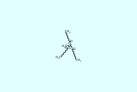 CCCCCCCCC(=O)OCC(COC(=O)CCCCCCCC)C(CC)OC(=O)CCCCCCCC